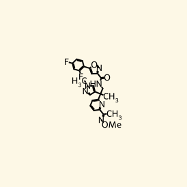 CO/N=C(\C)c1cccc(C(C)(CNC(=O)c2cc(-c3ccc(F)cc3F)on2)c2cnn(C)c2)n1